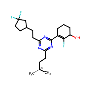 C[C@@H](CCc1nc(CCC2CCC(F)(F)C2)nc(C2=C(F)C(O)CCC2)n1)C(F)(F)F